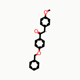 COc1ccc([CH]C(=O)c2ccc(OCc3ccccc3)cc2)cc1